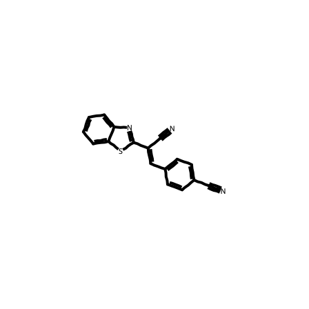 N#CC(=Cc1ccc(C#N)cc1)c1nc2ccccc2s1